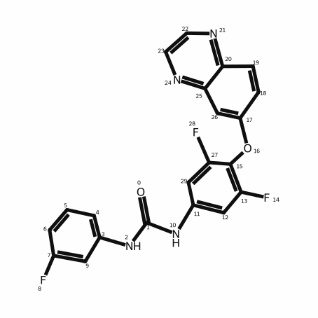 O=C(Nc1cccc(F)c1)Nc1cc(F)c(Oc2ccc3nccnc3c2)c(F)c1